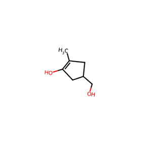 CC1=C(O)CC(CO)C1